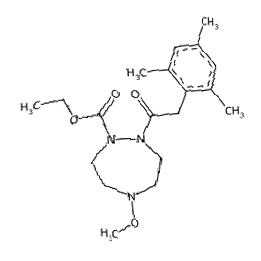 CCOC(=O)N1CCN(OC)CCN1C(=O)Cc1c(C)cc(C)cc1C